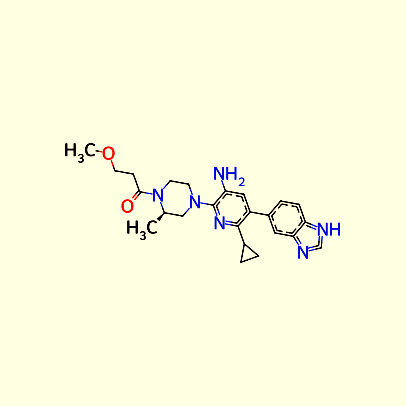 COCCC(=O)N1CCN(c2nc(C3CC3)c(-c3ccc4[nH]cnc4c3)cc2N)C[C@H]1C